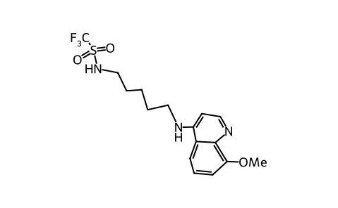 COc1cccc2c(NCCCCCNS(=O)(=O)C(F)(F)F)ccnc12